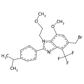 COCCn1c(-c2ccc(C(C)C)cc2)nc2c(C(F)(F)F)c(CBr)cc(OC)c21